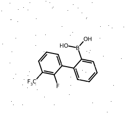 OB(O)c1ccccc1-c1cccc(C(F)(F)F)c1F